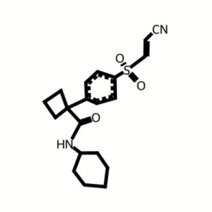 N#C/C=C/S(=O)(=O)c1ccc(C2(C(=O)NC3CCCCC3)CCC2)cc1